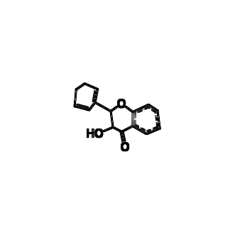 O=C1c2ccccc2OC(C2=CCCC=C2)C1O